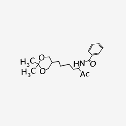 CC(=O)C(CCCCC1COC(C)(C)OC1)NC(=O)c1ccccc1